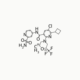 C[C@@H]1CN(c2nc(C3CCC3)c(Cl)cc2C(=O)Nc2ccnc(S(N)(=O)=O)c2)C[C@@H](C(F)(F)F)O1